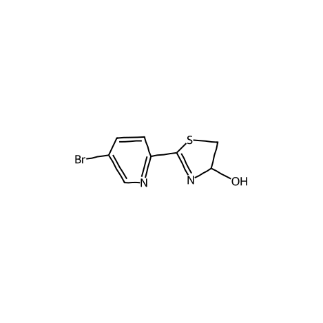 OC1CSC(c2ccc(Br)cn2)=N1